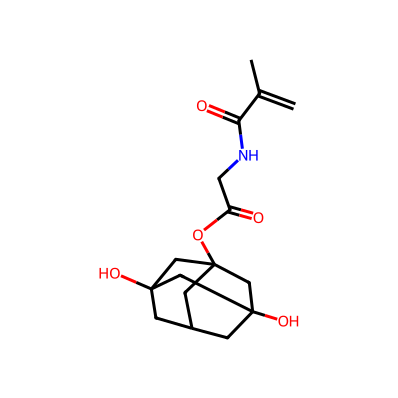 C=C(C)C(=O)NCC(=O)OC12CC3CC(O)(CC(O)(C3)C1)C2